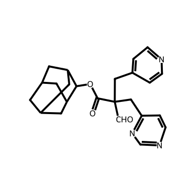 O=CC(Cc1ccncc1)(Cc1ccncn1)C(=O)OC1C2CC3CC(C2)CC1C3